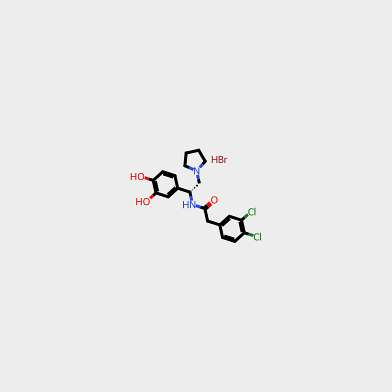 Br.O=C(Cc1ccc(Cl)c(Cl)c1)N[C@@H](CN1CCCC1)c1ccc(O)c(O)c1